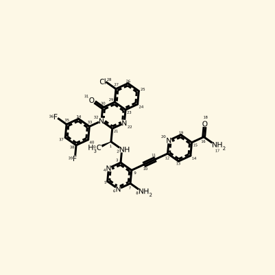 C[C@H](Nc1ncnc(N)c1C#Cc1ccc(C(N)=O)cn1)c1nc2cccc(Cl)c2c(=O)n1-c1cc(F)cc(F)c1